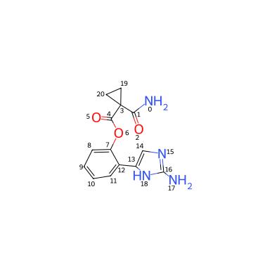 NC(=O)C1(C(=O)Oc2ccccc2-c2cnc(N)[nH]2)CC1